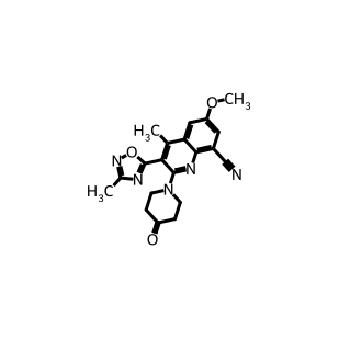 COc1cc(C#N)c2nc(N3CCC(=O)CC3)c(-c3nc(C)no3)c(C)c2c1